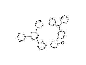 c1ccc(-c2cc(-c3ccccc3)cc(-c3cccc(-c4ccc5oc6ccc(-n7c8ccccc8c8ccccc87)cc6c5c4)n3)c2)cc1